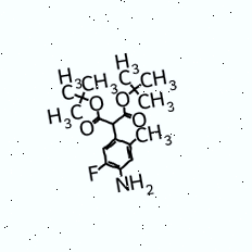 Cc1cc(N)c(F)cc1C(C(=O)OC(C)(C)C)C(=O)OC(C)(C)C